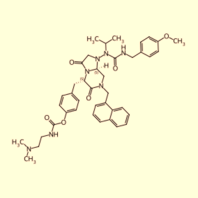 COc1ccc(CNC(=O)N(C(C)C)N2CC(=O)N3[C@@H](Cc4ccc(OC(=O)NCCN(C)C)cc4)C(=O)N(Cc4cccc5ccccc45)C[C@@H]32)cc1